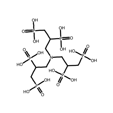 O=P(O)(O)CC(CN(CC(CP(=O)(O)O)P(=O)(O)O)CC(CP(=O)(O)O)P(=O)(O)O)P(=O)(O)O